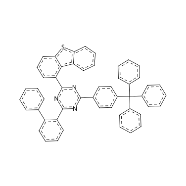 c1ccc(-c2ccccc2-c2nc(-c3ccc(C(c4ccccc4)(c4ccccc4)c4ccccc4)cc3)nc(-c3cccc4sc5ccccc5c34)n2)cc1